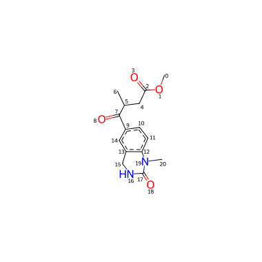 COC(=O)CC(C)C(=O)c1ccc2c(c1)CNC(=O)N2C